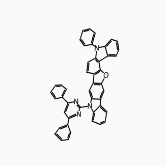 c1ccc(-c2cc(-c3ccccc3)nc(-n3c4ccccc4c4cc5oc6c(ccc7c6c6ccccc6n7-c6ccccc6)c5cc43)n2)cc1